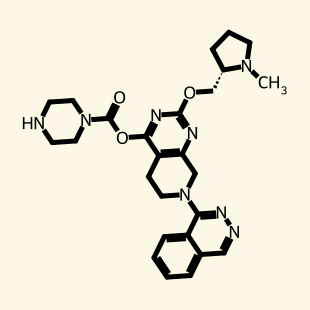 CN1CCC[C@H]1COc1nc2c(c(OC(=O)N3CCNCC3)n1)CCN(c1nncc3ccccc13)C2